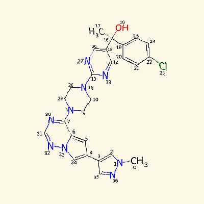 Cn1cc(-c2cc3c(N4CCN(c5ncc([C@@](C)(O)c6ccc(Cl)cc6)cn5)CC4)ncnn3c2)cn1